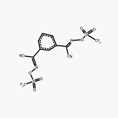 N#CC(=NOS(=O)(=O)C(F)(F)F)c1cccc(C(C#N)=NOS(=O)(=O)C(F)(F)F)c1